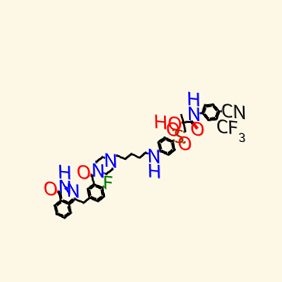 CC(O)(CS(=O)(=O)c1ccc(NCCCCCN2CCN(C(=O)c3cc(Cc4n[nH]c(=O)c5ccccc45)ccc3F)CC2)cc1)C(=O)Nc1ccc(C#N)c(C(F)(F)F)c1